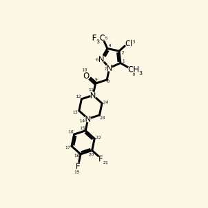 Cc1c(Cl)c(C(F)(F)F)nn1CC(=O)N1CCN(c2ccc(F)c(F)c2)CC1